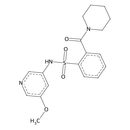 COc1cncc(NS(=O)(=O)c2ccccc2C(=O)N2CCCCC2)c1